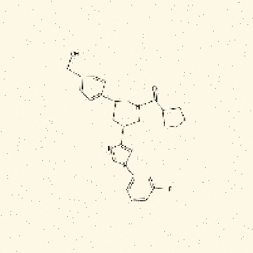 CCc1ccc(C2CC(c3cn(-c4cccc(F)c4)cn3)CN(C(=O)C3CCCC3)C2)cc1